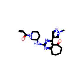 C=CC(=O)N1CCCC(Nc2nc3c(c(-c4cnn(C)c4)n2)C(=O)CCCC3)C1